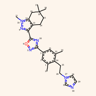 Cc1cc(-c2noc(-c3nn(C)c4c3CCC(C)(C)C4)n2)cc(C)c1CCn1ccnc1